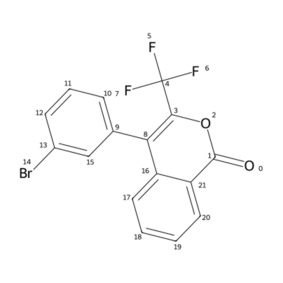 O=c1oc(C(F)(F)F)c(-c2cccc(Br)c2)c2ccccc12